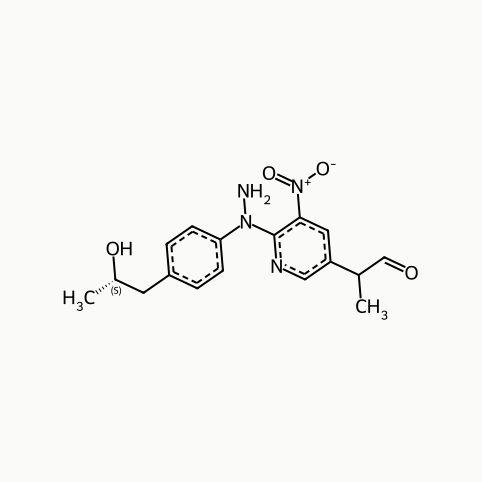 CC(C=O)c1cnc(N(N)c2ccc(C[C@H](C)O)cc2)c([N+](=O)[O-])c1